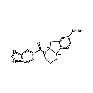 CC(=O)Nc1ccc2c(c1)C[C@@H]1[C@H]2CCCN1C(=O)c1ccc2[nH]cnc2c1